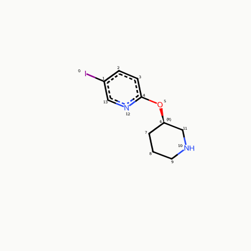 Ic1ccc(O[C@@H]2CCCNC2)nc1